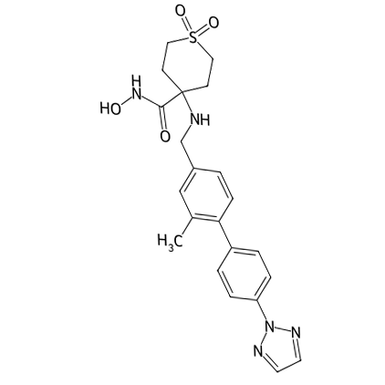 Cc1cc(CNC2(C(=O)NO)CCS(=O)(=O)CC2)ccc1-c1ccc(-n2nccn2)cc1